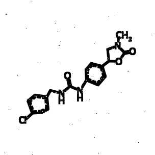 CN1CC(c2ccc(NC(=O)NCc3ccc(Cl)cc3)cc2)OC1=O